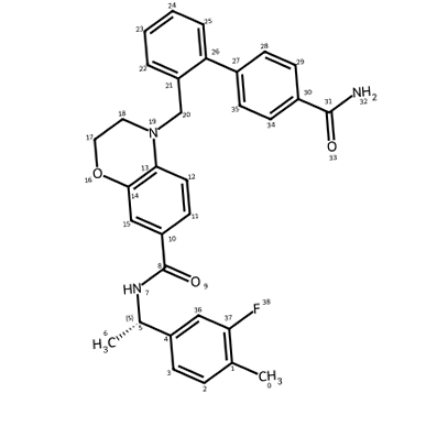 Cc1ccc([C@H](C)NC(=O)c2ccc3c(c2)OCCN3Cc2ccccc2-c2ccc(C(N)=O)cc2)cc1F